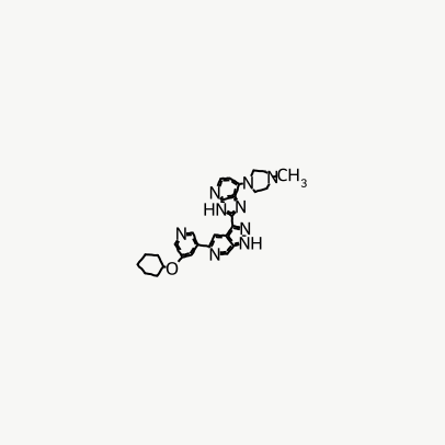 CN1CCN(c2ccnc3[nH]c(-c4n[nH]c5cnc(-c6cncc(OC7CCCCC7)c6)cc45)nc23)CC1